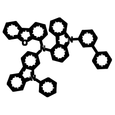 c1ccc(-c2cccc(-n3c4ccccc4c4c(N(c5ccc6c7ccccc7n(-c7ccccc7)c6c5)c5cccc6c5oc5ccccc56)cccc43)c2)cc1